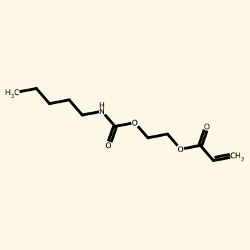 C=CC(=O)OCCOC(=O)NCCCCC